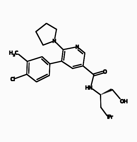 Cc1cc(-c2cc(C(=O)N[C@H](CO)CC(C)C)cnc2N2CCCC2)ccc1Cl